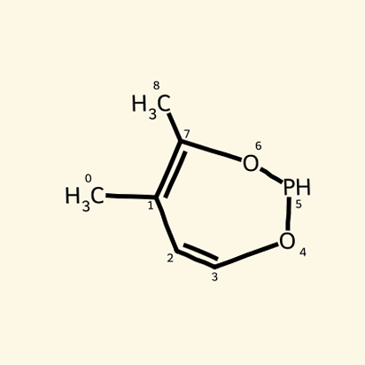 Cc1cco[pH]oc1C